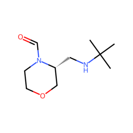 CC(C)(C)NC[C@@H]1COCCN1C=O